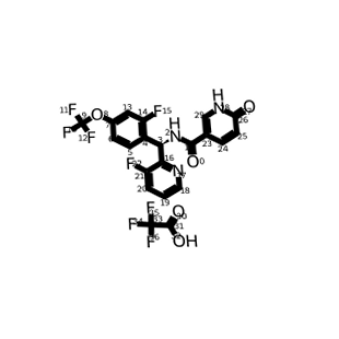 O=C(N[C@@H](c1ccc(OC(F)(F)F)cc1F)c1ncccc1F)c1ccc(=O)[nH]c1.O=C(O)C(F)(F)F